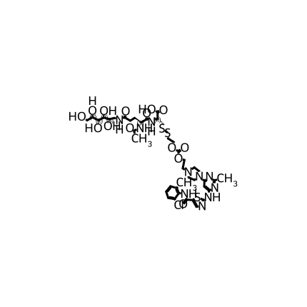 CC(=O)N[C@@H](CCC(=O)NC[C@H](O)[C@@H](O)[C@H](O)[C@H](O)CO)C(=O)N[C@@H](CSSCCOC(=O)OCCN1CCN(c2cc(Nc3ncc(C(=O)Nc4c(C)cccc4Cl)s3)nc(C)n2)CC1)C(=O)O